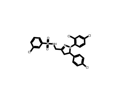 O=S(=O)(NCC1=NN(c2ccc(Cl)cc2Cl)C(c2ccc(Cl)cc2)C1)c1cccc(Cl)c1